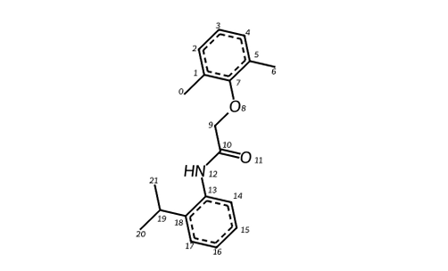 Cc1cccc(C)c1OCC(=O)Nc1ccccc1C(C)C